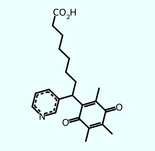 CC1=C(C)C(=O)C(C(CCCCCCC(=O)O)c2cccnc2)=C(C)C1=O